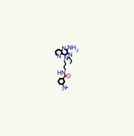 CCc1nc2c(N)nc3cccnc3c2n1CCCCNC(=O)c1cccc(N(C)C)c1